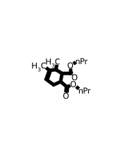 CCCOC(=O)C1CC=C(C)C(C)C1C(=O)OCCC